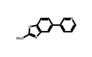 CSc1nc2cc(-c3cccnc3)ccc2o1